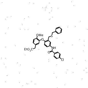 CCOC(=O)Cc1ccc(OC)c(Oc2ccc(NC(=O)c3ccc(Cl)cc3)cc2CSCc2ccccc2)c1